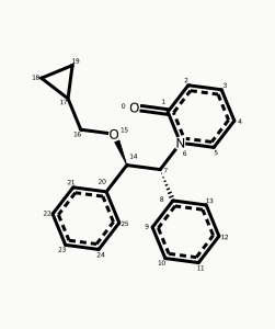 O=c1ccccn1[C@H](c1ccccc1)[C@H](OCC1CC1)c1ccccc1